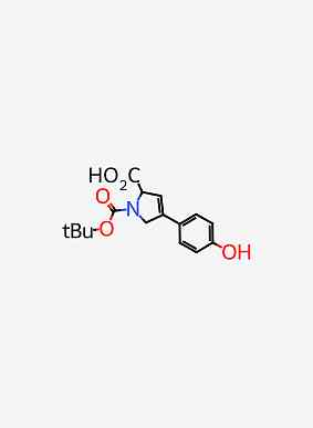 CC(C)(C)OC(=O)N1CC(c2ccc(O)cc2)=CC1C(=O)O